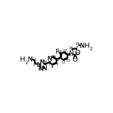 NCCn1nnc(-c2ccc(-c3ccc(N4C[C@H](CN)OC4=O)cc3F)cn2)n1